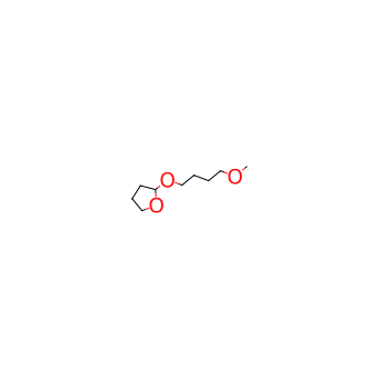 COCCCCOC1CCCO1